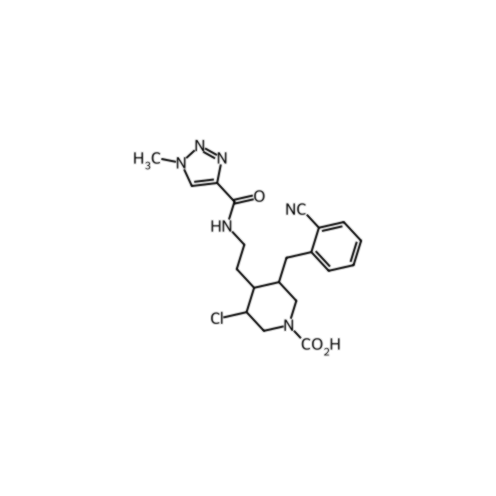 Cn1cc(C(=O)NCCC2C(Cl)CN(C(=O)O)CC2Cc2ccccc2C#N)nn1